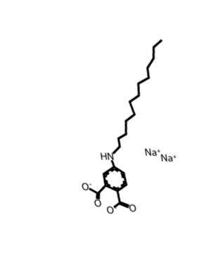 CCCCCCCCCCCCCNc1ccc(C(=O)[O-])c(C(=O)[O-])c1.[Na+].[Na+]